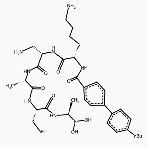 CCCCc1ccc(-c2ccc(C(=O)N[C@@H](CCCCN)C(=O)N[C@@H](CN)C(=O)N[C@@H](C)C(=O)N[C@@H](CC(C)C)C(=O)N[C@@H](C)B(O)O)cc2)cc1